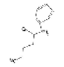 N#CCCCC(Cl)[SiH2]c1ccccc1